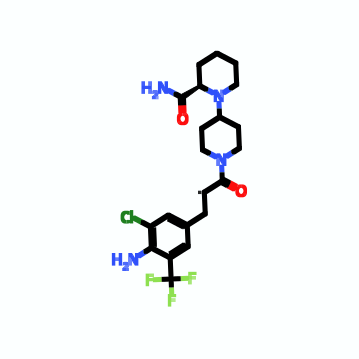 NC(=O)[C@H]1CCCCN1C1CCN(C(=O)[CH]Cc2cc(Cl)c(N)c(C(F)(F)F)c2)CC1